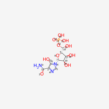 NC(=O)c1ncn([C@@H]2O[C@H](C(O)OP(=O)(O)O)[C@@H](O)[C@H]2O)c1O